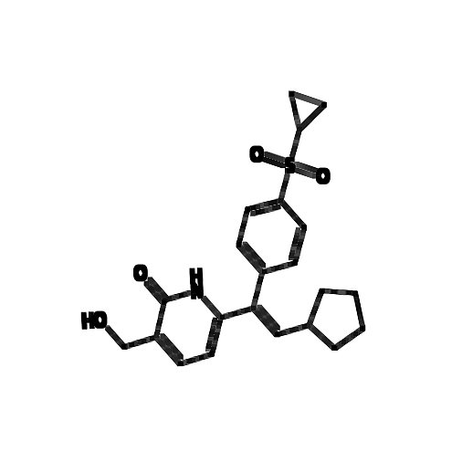 O=c1[nH]c(C(=CC2CCCC2)c2ccc(S(=O)(=O)C3CC3)cc2)ccc1CO